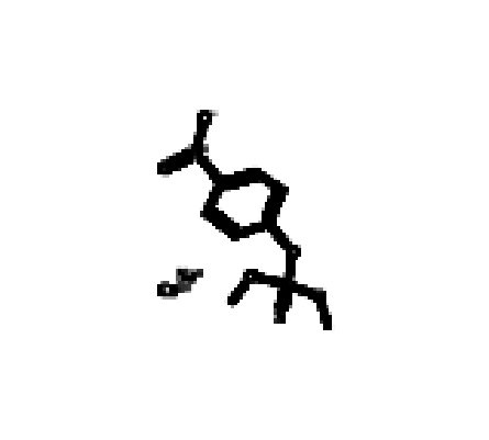 COP(=S)(OC)Oc1ccc([N+](=O)[O-])cc1.[Ca+2].[Na+]